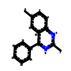 Cc1ccc2nc(C)nc(-c3ccccc3)c2c1